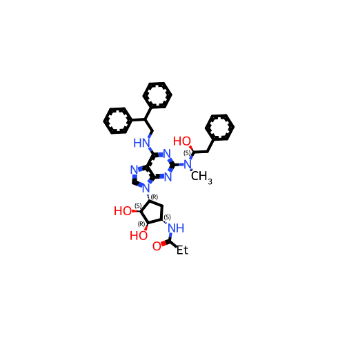 CCC(=O)N[C@H]1C[C@@H](n2cnc3c(NCC(c4ccccc4)c4ccccc4)nc(N(C)[C@@H](O)Cc4ccccc4)nc32)[C@H](O)[C@@H]1O